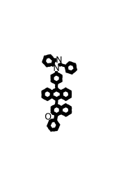 c1ccc(-c2nc3ccccc3n2-c2ccc(-c3c4ccccc4c(-c4cc5oc6ccccc6c5c5ccccc45)c4ccccc34)cc2)cc1